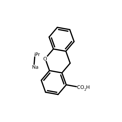 C[CH](C)[Na].O=C(O)c1cccc2c1Cc1ccccc1O2